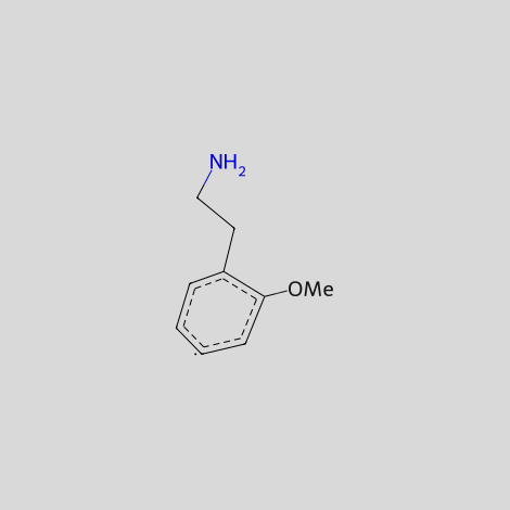 COc1c[c]ccc1CCN